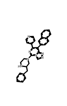 c1ccc(CC2CN(c3nc(-c4ccncc4)c(-c4ccc5ccccc5c4)c4nncn34)CCN2)cc1